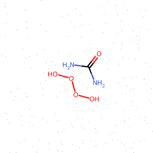 NC(N)=O.OOOO